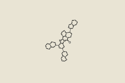 O=c1c2ccc(-c3ccc4ccccc4c3)c3cccc(c32)c2nc3c(-c4ccc5ccccc5c4)cc(-c4ccc5ccccc5c4)cc3n12